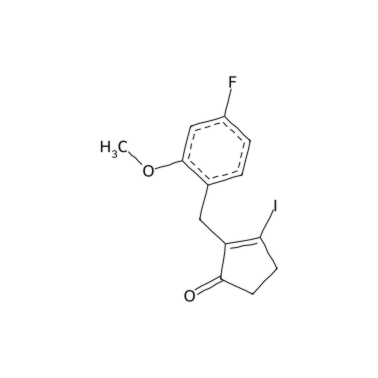 COc1cc(F)ccc1CC1=C(I)CCC1=O